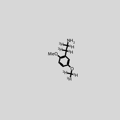 [2H]C([2H])([2H])Oc1ccc(OC)c(C([2H])([2H])C([2H])([2H])N)c1